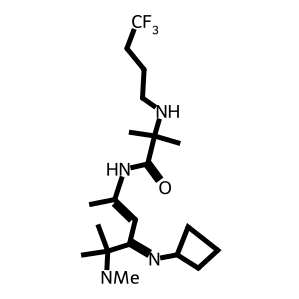 CNC(C)(C)C(/C=C(\C)NC(=O)C(C)(C)NCCCC(F)(F)F)=N/C1CCC1